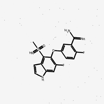 CS(=N)(=O)c1c(Oc2ccc(F)c(C(=N)N)c2)c(F)cc2[nH]ccc12